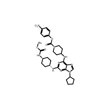 CC(C)(C)OC(=O)N[C@H]1CC[C@H](Nc2nc(NC3CCN(C(=O)Oc4ccc([N+](=O)[O-])cc4)CC3)c3ncn(C4CCCC4)c3n2)CC1